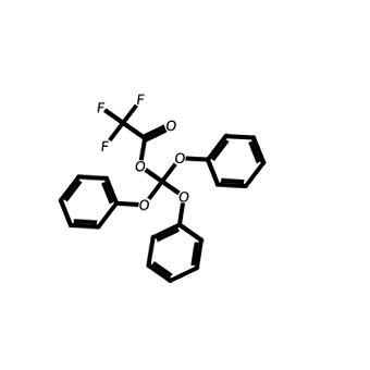 O=C(OC(Oc1ccccc1)(Oc1ccccc1)Oc1ccccc1)C(F)(F)F